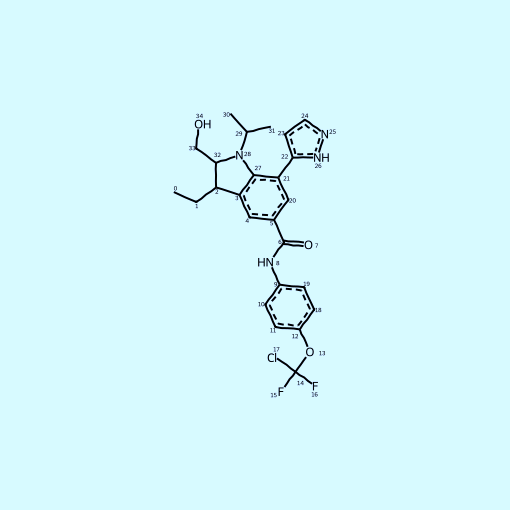 CCC1c2cc(C(=O)Nc3ccc(OC(F)(F)Cl)cc3)cc(-c3ccn[nH]3)c2N(C(C)C)C1CO